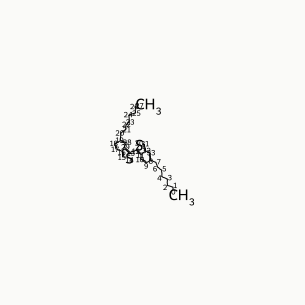 CCCCCCCCc1ccc2c(-c3scc4ccc(CCCCCCCC)cc34)scc2c1